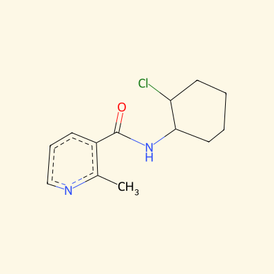 Cc1ncccc1C(=O)NC1CCCCC1Cl